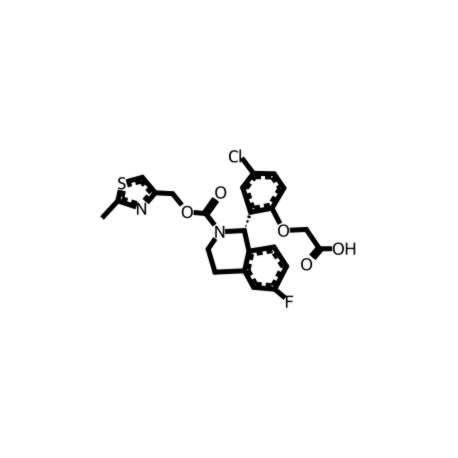 Cc1nc(COC(=O)N2CCc3cc(F)ccc3[C@H]2c2cc(Cl)ccc2OCC(=O)O)cs1